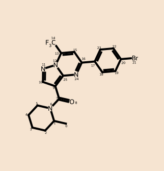 CC1CCCCN1C(=O)c1cnn2c(C(F)(F)F)cc(-c3ccc(Br)cc3)nc12